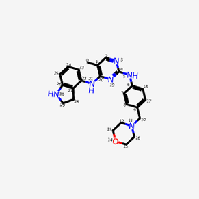 Cc1cnc(Nc2ccc(CN3CCOCC3)cc2)nc1Nc1cccc2c1CCN2